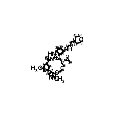 Cc1cc2cc(n1)-c1cnn(C)c1OCCC[C@@H](C1CC1)CN1/C(=N/C2=O)Nc2ccc(NCCCN3CCOCC3)cc21